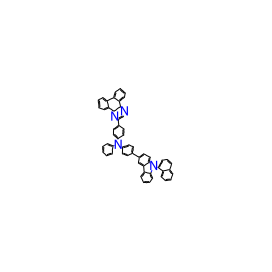 c1ccc(N(c2ccc(-c3ccc4c(c3)c3ccccc3n4-c3cccc4ccccc34)cc2)c2ccc(-c3cnc4c5ccccc5c5ccccc5c4n3)cc2)cc1